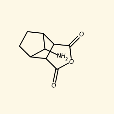 NC1C2CCC1C1C(=O)OC(=O)C21